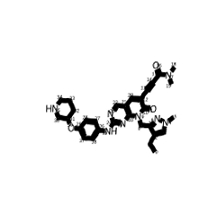 CCc1cn(C)nc1Cn1c(=O)c(C#CC(=O)N(C)C)cc2cnc(Nc3ccc(OC4CCCNC4)cc3)nc21